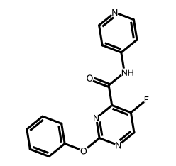 O=C(Nc1ccncc1)c1nc(Oc2ccccc2)ncc1F